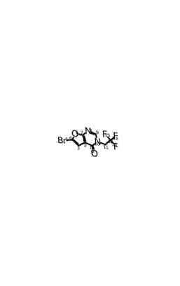 O=c1c2cc(Br)oc2ncn1CC(F)(F)F